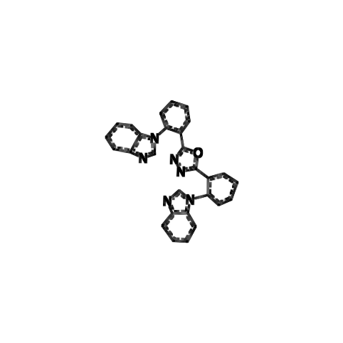 c1ccc(-n2cnc3ccccc32)c(-c2nnc(-c3ccccc3-n3cnc4ccccc43)o2)c1